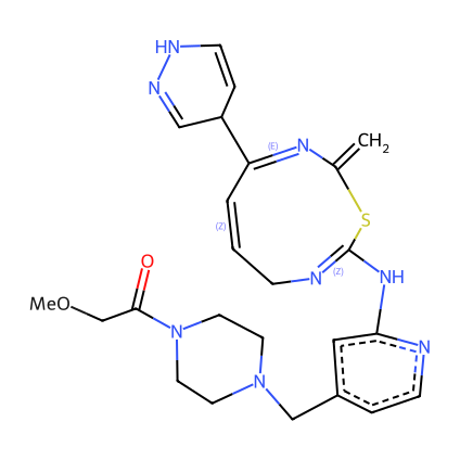 C=C1/N=C(C2C=CNN=C2)\C=C/C/N=C(/Nc2cc(CN3CCN(C(=O)COC)CC3)ccn2)S1